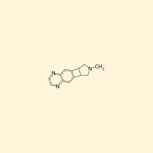 CN1CC2c3cc4nccnc4cc3C2C1